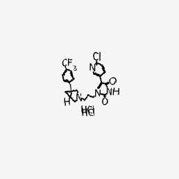 Cl.Cl.O=c1[nH]c(=O)n(CCCN2C[C@@H]3C[C@]3(c3ccc(C(F)(F)F)cc3)C2)cc1-c1ccc(Cl)nc1